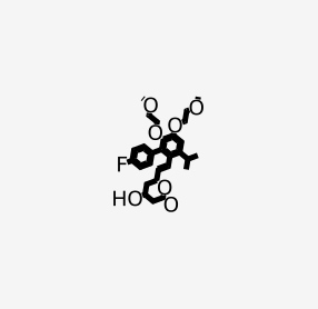 COCCOc1cc(C(C)C)c(C=CC2CC(O)CC(=O)O2)c(-c2ccc(F)cc2)c1OCCOC